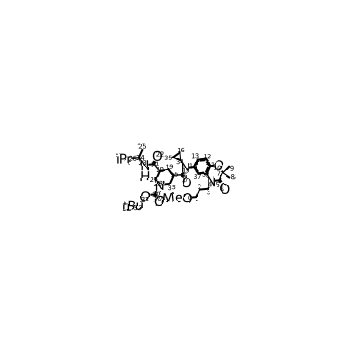 COCCCN1C(=O)C(C)(C)Oc2ccc(N(C(=O)[C@@H]3C[C@H](C(=O)N[C@H](C)C(C)C)CN(C(=O)OC(C)(C)C)C3)C3CC3)cc21